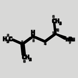 C=C(C)NC[C@@H](C)CCCC